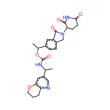 CC(NC(=O)OC(C)c1ccc2c(c1)C(=O)N(C1CCC(=O)NC1=O)C2)c1cnc2c(c1)OCCC2